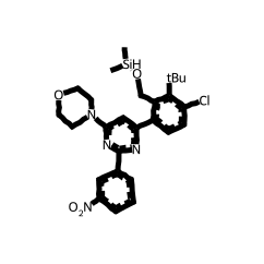 C[SiH](C)OCc1c(-c2cc(N3CCOCC3)nc(-c3cccc([N+](=O)[O-])c3)n2)ccc(Cl)c1C(C)(C)C